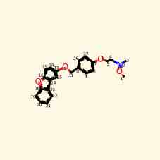 CON(C)CCOc1ccc(COc2ccc3oc4ccccc4c3c2)cc1